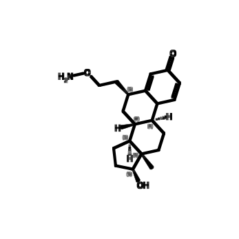 C[C@]12CC[C@@H]3C4C=CC(=O)C=C4[C@H](CCON)C[C@H]3[C@@H]1CC[C@@H]2O